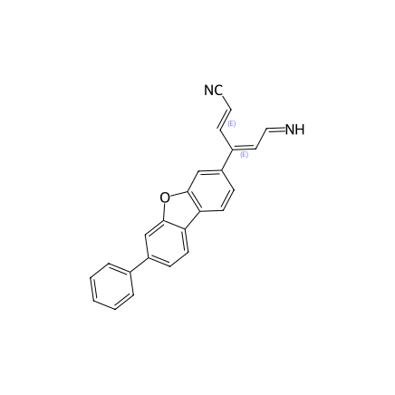 N#C/C=C/C(=C\C=N)c1ccc2c(c1)oc1cc(-c3ccccc3)ccc12